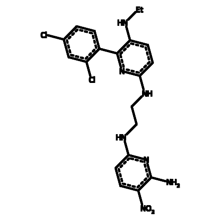 CCNc1ccc(NCCNc2ccc([N+](=O)[O-])c(N)n2)nc1-c1ccc(Cl)cc1Cl